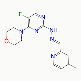 Cc1ccnc(/C=N/Nc2ncc(F)c(N3CCOCC3)n2)c1